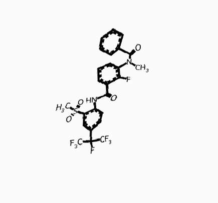 CN(C(=O)c1ccccc1)c1cccc(C(=O)Nc2ccc(C(F)(C(F)(F)F)C(F)(F)F)cc2S(C)(=O)=O)c1F